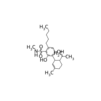 C=C(C)C1CCC(C)=CC1c1c(O)cc(CCCCC)c(S(=O)(=O)NC)c1O